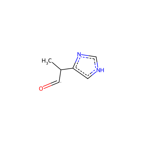 CC([C]=O)c1c[nH]cn1